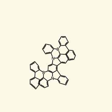 c1ccc(-c2ccccc2B2c3ccccc3-n3c4cc5c6c(c7ccccc7n6-c6ccccc6B5c5ccccc5-c5ccccc5)c4c4cccc2c43)cc1